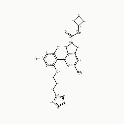 Nc1nc2c(c(-c3c(Cl)cc(Cl)cc3OCCCn3cccn3)n1)CN(C(=O)NC1CCC1)C2